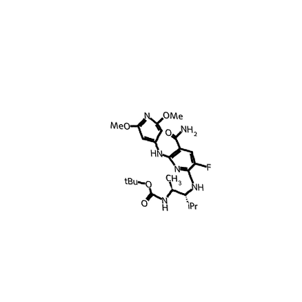 COc1cc(Nc2nc(N[C@H](C(C)C)[C@H](C)NC(=O)OC(C)(C)C)c(F)cc2C(N)=O)cc(OC)n1